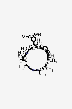 CCC1C(=O)C2C[C@H](C)/C=C/C=C/C=C(\C)CC[C@@H](C)CCC(C)C(C)(O)C(=O)C(=O)N3CCCCC3C(=O)O[C@H]([C@H](C)CC3CC[C@@H](OC)C(OC)C3)CC(=O)[C@H](C)/C=C(\C)[C@H]1O2